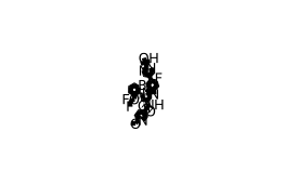 COc1ccc(S(=O)(=O)N[C@@H]2C[C@H](c3c(Br)cccc3OC(F)F)n3c2nc2cc(F)c(-c4cnc(C(C)(C)O)nc4)cc23)cn1